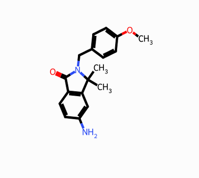 COc1ccc(CN2C(=O)c3ccc(N)cc3C2(C)C)cc1